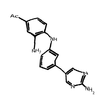 CC(=O)c1ccc(Nc2cccc(-c3cnc(N)nc3)c2)c(N)c1